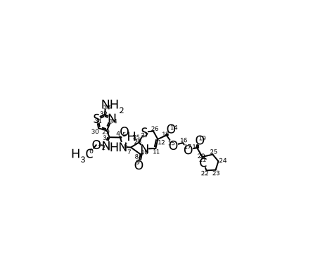 CON=C(C(=O)NC1C(=O)N2C=C(C(=O)OCOC(=O)C3CCCCC3)CS[C@H]12)c1csc(N)n1